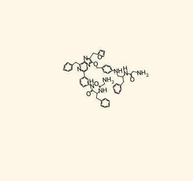 NCC(=O)NC(CNc1ccc(COc2c(Cc3ccco3)nc3c(Cc4ccccc4)nc(-c4cccc(NC(=O)C(Cc5ccccc5)NC(=O)CN)c4)cn23)cc1)Cc1ccccc1